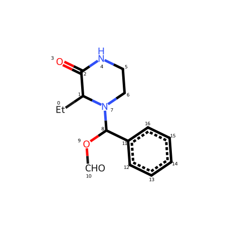 CCC1C(=O)NCCN1C(OC=O)c1ccccc1